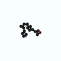 c1ccc(-c2ccccc2-n2c3ccccc3c3cc(-c4ccc5c(c4)c4ccccc4n5-c4cccc5c4-c4ccccc4[SH]5c4cccc(-c5cccc(-n6c7ccccc7c7cc(-c8ccc9c(c8)c8ccccc8n9-c8cccc9sc%10ccccc%10c89)ccc76)c5)c4)ccc32)cc1